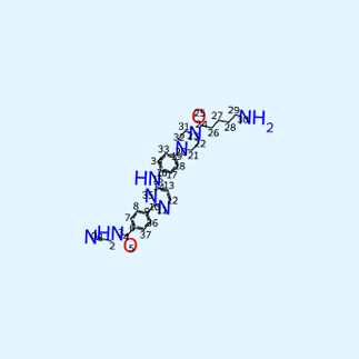 N#CCNC(=O)c1ccc(-c2nccc(Nc3ccc(N4CCN(C(=O)CCCCN)CC4)cc3)n2)cc1